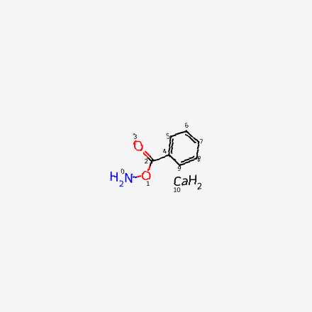 NOC(=O)c1ccccc1.[CaH2]